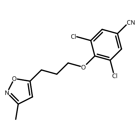 Cc1cc(CCCOc2c(Cl)cc(C#N)cc2Cl)on1